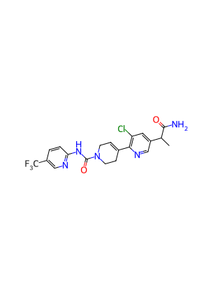 CC(C(N)=O)c1cnc(C2=CCN(C(=O)Nc3ccc(C(F)(F)F)cn3)CC2)c(Cl)c1